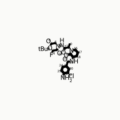 CC(C(=O)NN(CC(=O)OC(C)(C)C)C(=O)CF)n1cccc(NC(=O)c2ccc(N)c(Cl)c2)c1=O